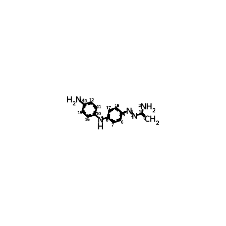 C=C(N)N=Nc1ccc(Nc2ccc(N)cc2)cc1